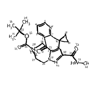 C=Cc1cccnc1C1(c2c(C(=O)NC)nn3c2CN(C(=O)OC(C)(C)C)CC3)CC1